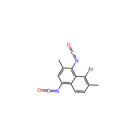 CCc1c(C)ccc2c(N=C=O)cc(C)c(N=C=O)c12